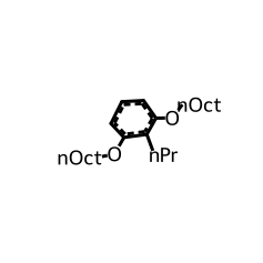 [CH2]CCc1c(OCCCCCCCC)cccc1OCCCCCCCC